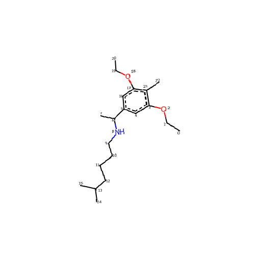 CCOc1cc(C(C)NCCCCC(C)C)cc(OCC)c1C